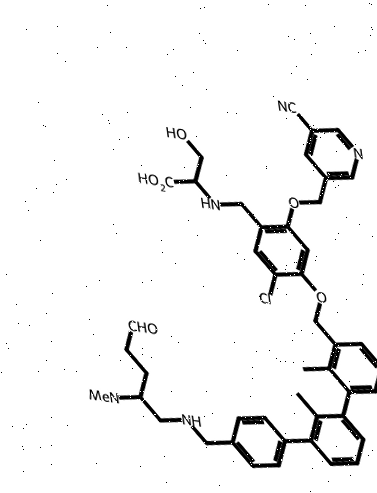 CNC(CCC=O)CNCc1ccc(-c2cccc(-c3cccc(COc4cc(OCc5cncc(C#N)c5)c(CNC(CO)C(=O)O)cc4Cl)c3C)c2C)cc1